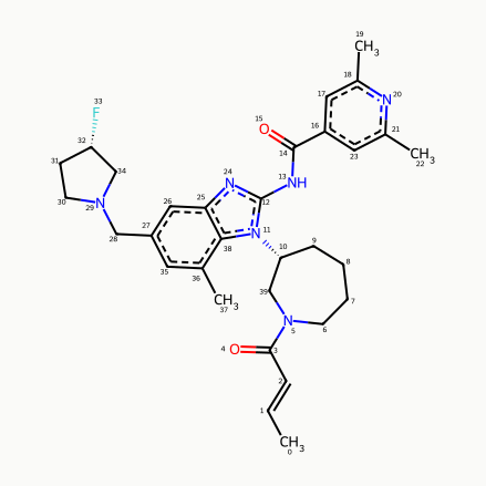 CC=CC(=O)N1CCCC[C@@H](n2c(NC(=O)c3cc(C)nc(C)c3)nc3cc(CN4CC[C@H](F)C4)cc(C)c32)C1